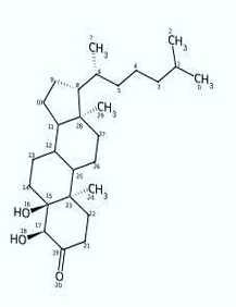 CC(C)CCC[C@@H](C)[C@H]1CCC2C3CC[C@@]4(O)[C@H](O)C(=O)CC[C@]4(C)C3CC[C@@]21C